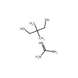 CC(C)(CO)CO.N=C(N)N